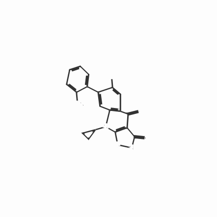 N#Cc1ccccc1-c1cc2c(cc1F)c(=O)c1c(=O)[nH]sc1n2C1CC1